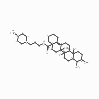 CC1C(O)CCC2(C)C1CCC1(C)C2CCC2=C3CCCCC3(C(=O)NCCCN3CCN(C)CC3)CCC21C